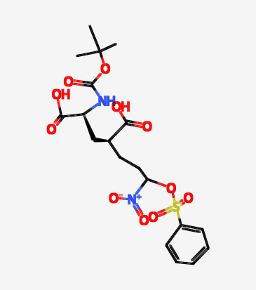 CC(C)(C)OC(=O)N[C@@H](C[C@H](CCC(OS(=O)(=O)c1ccccc1)[N+](=O)[O-])C(=O)O)C(=O)O